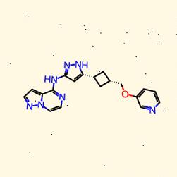 c1cncc(OC[C@H]2C[C@@H](c3cc(Nc4nccn5nccc45)n[nH]3)C2)c1